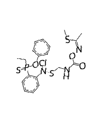 CCP(=S)(Oc1ccccc1)c1ccccc1N(Cl)SCNC(=O)ON=C(C)SC